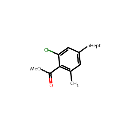 CCCCCCCc1cc(C)c(C(=O)OC)c(Cl)c1